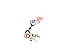 CSC1(SC)CCOc2ccc(C#Cc3cnc(CC(=O)O)nc3)cc21